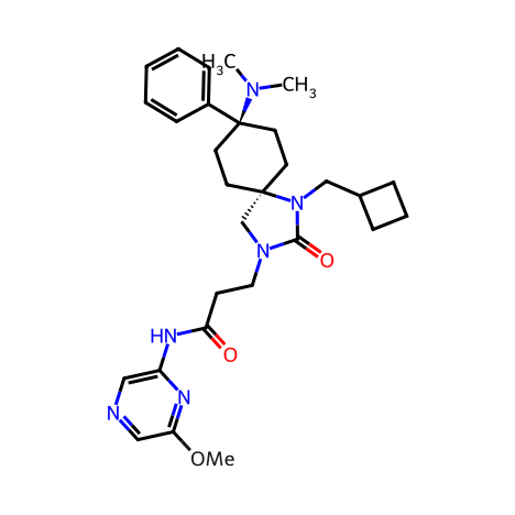 COc1cncc(NC(=O)CCN2C[C@]3(CC[C@](c4ccccc4)(N(C)C)CC3)N(CC3CCC3)C2=O)n1